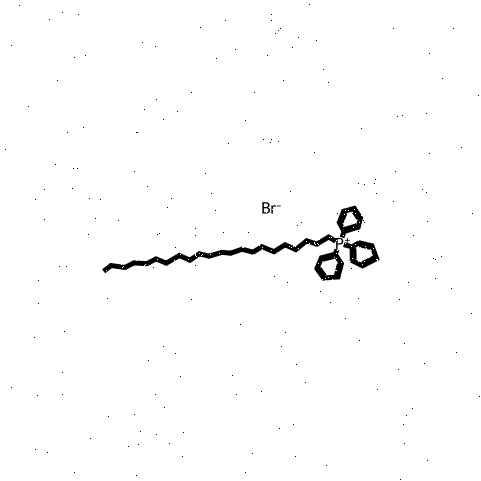 CCCCCCCCCCCCCCCCCCCCCC[P+](c1ccccc1)(c1ccccc1)c1ccccc1.[Br-]